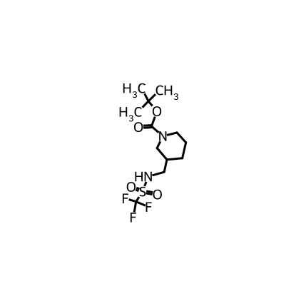 CC(C)(C)OC(=O)N1CCCC(CNS(=O)(=O)C(F)(F)F)C1